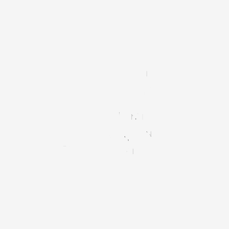 CCSc1ccc(Cl)c(N(C)C(=N)Nc2cccc(CC)c2)c1